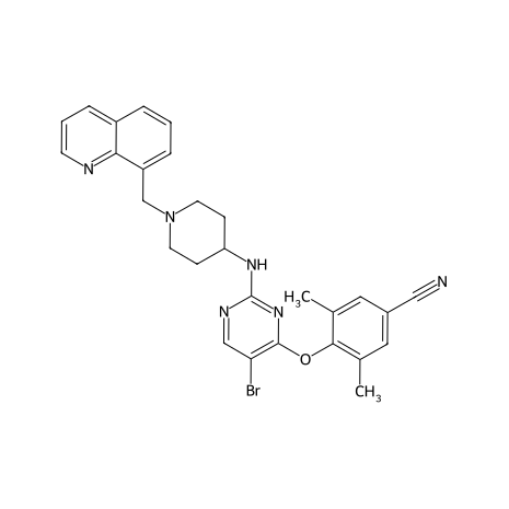 Cc1cc(C#N)cc(C)c1Oc1nc(NC2CCN(Cc3cccc4cccnc34)CC2)ncc1Br